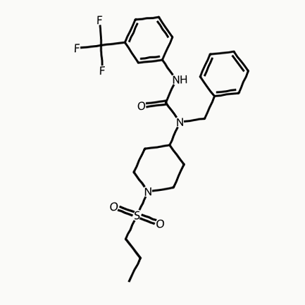 CCCS(=O)(=O)N1CCC(N(Cc2ccccc2)C(=O)Nc2cccc(C(F)(F)F)c2)CC1